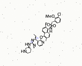 C=N/C(=N\C(=C/C)c1cccnc1Oc1c(C)ccc2c(NS(=O)(=O)Cc3cccc(Cl)c3OC)c(F)ccc12)N[C@H]1CCCNC1